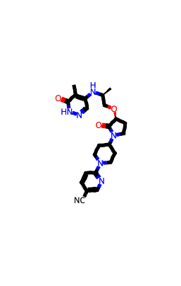 Cc1c(N[C@@H](C)CO[C@H]2CCN(C3CCN(c4ccc(C#N)cn4)CC3)C2=O)cn[nH]c1=O